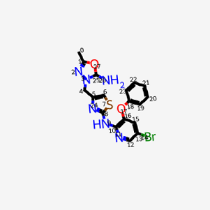 CC1=NN(Cc2csc(Nc3ncc(Br)cc3Oc3ccccc3)n2)C(N)O1